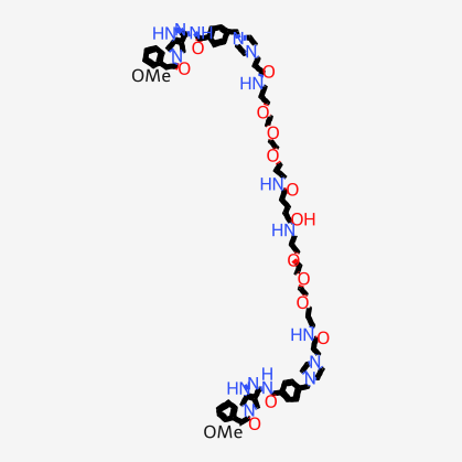 CO[C@H](C(=O)N1Cc2[nH]nc(NC(=O)c3ccc(CN4CCN(CCC(=O)NCCCOCCOCCOCCCNC(=O)CCCC(O)NCCCOCCOCCOCCCNC(=O)CCN5CCN(Cc6ccc(C(=O)Nc7n[nH]c8c7CN(C(=O)[C@H](OC)c7ccccc7)C8)cc6)CC5)CC4)cc3)c2C1)c1ccccc1